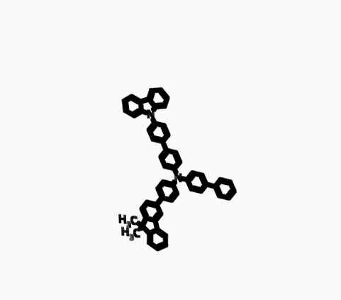 CC1(C)c2ccccc2-c2cc(-c3ccc(N(c4ccc(-c5ccccc5)cc4)c4ccc(-c5ccc(-n6c7ccccc7c7ccccc76)cc5)cc4)cc3)ccc21